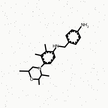 Cc1c(NCc2ccc(N)cc2)ccc(N2CC(C)OC(C)C2C)c1C